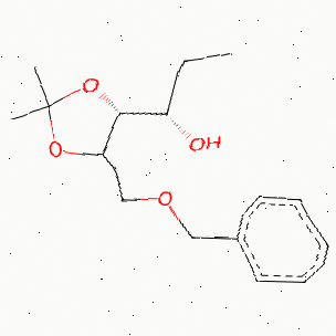 CC[C@H](O)[C@H]1OC(C)(C)OC1COCc1ccccc1